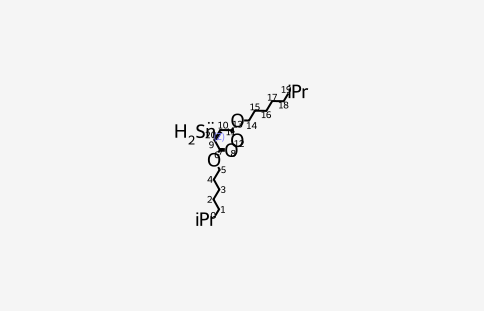 CC(C)CCCCCOC(=O)/C=C\C(=O)OCCCCCC(C)C.[SnH2]